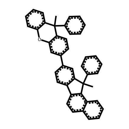 CC1(c2ccccc2)c2ccccc2Oc2cc(-c3ccc4c(c3)C(C)(c3ccccc3)c3c-4ccc4ccccc34)ccc21